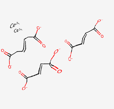 O=C([O-])C=CC(=O)[O-].O=C([O-])C=CC(=O)[O-].O=C([O-])C=CC(=O)[O-].[Ce+3].[Ce+3]